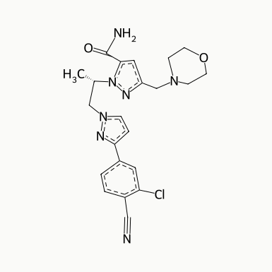 C[C@@H](Cn1ccc(-c2ccc(C#N)c(Cl)c2)n1)n1nc(CN2CCOCC2)cc1C(N)=O